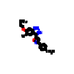 COCCOc1cc(N)c(C(=N)c2cc(-c3ccc(C(=O)O)cc3)no2)cc1C#N